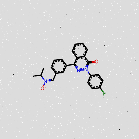 CC(C)/[N+]([O-])=C\c1cccc(-c2nn(-c3ccc(F)cc3)c(=O)c3ccccc23)c1